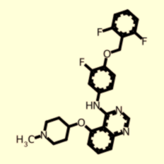 CN1CCC(Oc2cccc3ncnc(Nc4ccc(OCc5c(F)cccc5F)c(F)c4)c23)CC1